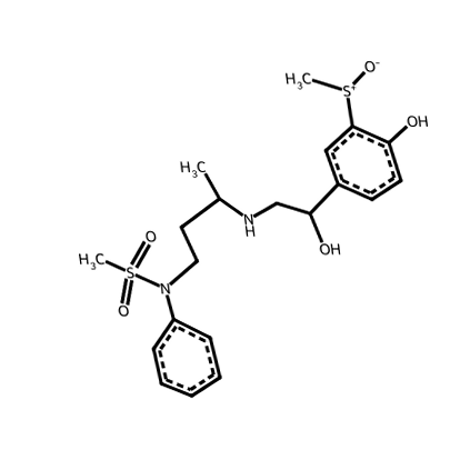 CC(CCN(c1ccccc1)S(C)(=O)=O)NCC(O)c1ccc(O)c([S+](C)[O-])c1